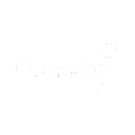 N#Cc1c(C(N)=O)c2n(c1-c1ccccc1)CCN(C(=O)NC1CCN(C(=O)N3CCOCC3)CC1)C2